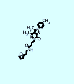 Cc1ccc(-n2nc3c(=O)n(CCCC(=O)NCCc4ccco4)nc(C)c3c2C)cc1